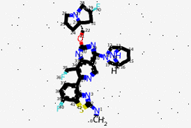 C=Nc1nc2c(-c3ncc4c(N5CC6CC[C@H](C5)N6)nc(OC[C@]56CCCN5C[C@@H](F)C6)nc4c3CF)ccc(F)c2s1